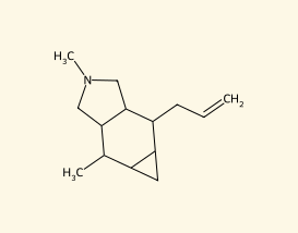 C=CCC1C2CC2C(C)C2CN(C)CC21